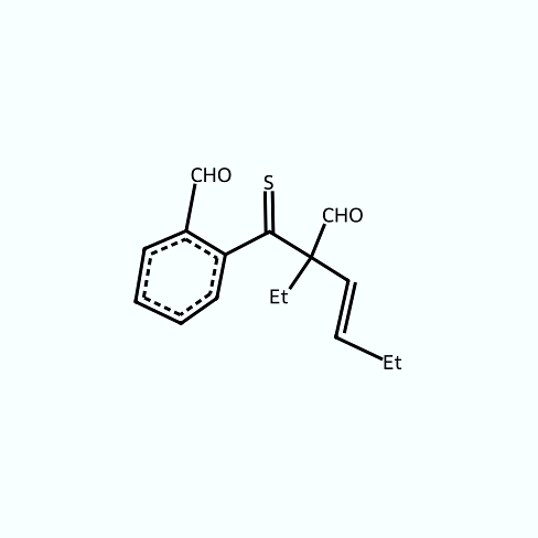 CCC=CC(C=O)(CC)C(=S)c1ccccc1C=O